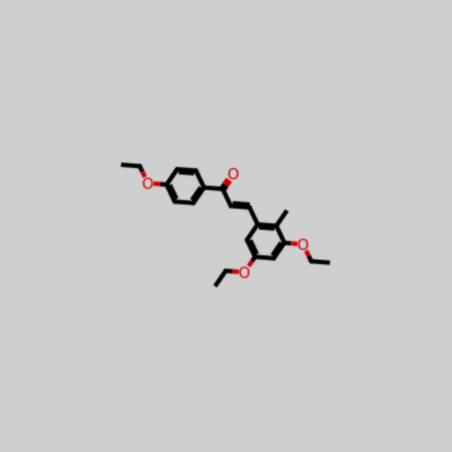 CCOc1ccc(C(=O)C=Cc2cc(OCC)cc(OCC)c2C)cc1